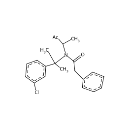 CC(=O)C(C)N(C(=O)Cc1ccccc1)C(C)(C)c1cccc(Cl)c1